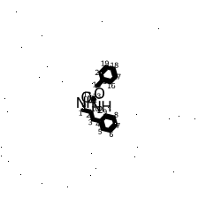 NCC(Cc1ccccc1)NC(=O)OCc1ccccc1